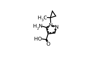 CC1(n2ncc(C(=O)O)c2N)CC1